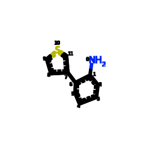 Nc1ccccc1-c1ccsc1